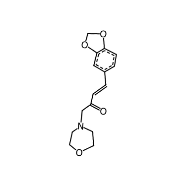 O=C(C=Cc1ccc2c(c1)OCO2)CN1CCOCC1